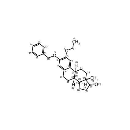 CCOc1cc2c(cc1OCc1ccccc1)CC[C@@H]1[C@@H]2CC[C@]2(C)C(=O)CC[C@@H]12